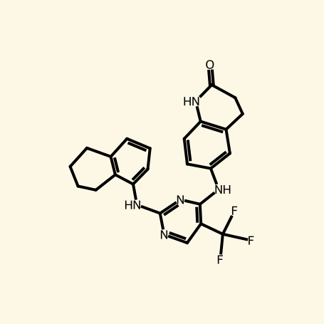 O=C1CCc2cc(Nc3nc(Nc4cccc5c4CCCC5)ncc3C(F)(F)F)ccc2N1